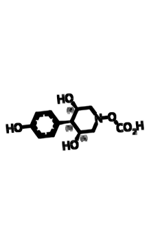 O=C(O)ON1C[C@@H](O)[C@@H](c2ccc(O)cc2)[C@@H](O)C1